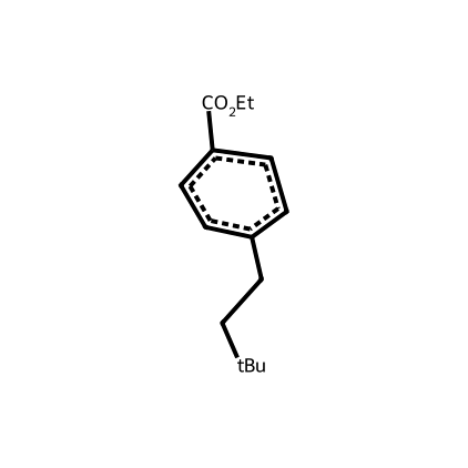 CCOC(=O)c1ccc(CCC(C)(C)C)cc1